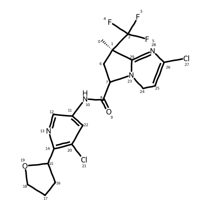 C[C@@]1(C(F)(F)F)CC(C(=O)Nc2cnc(C3CCCO3)c(Cl)c2)N2CC=C(Cl)N=C21